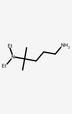 CCN(CC)C(C)(C)CCCN